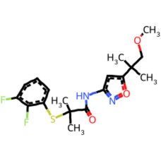 COCC(C)(C)c1cc(NC(=O)C(C)(C)Sc2cccc(F)c2F)no1